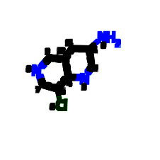 Nc1cnc2c(Cl)cncc2c1